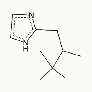 CC(Cc1ncc[nH]1)C(C)(C)C